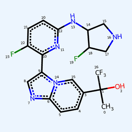 CC(O)(c1ccc2ncc(-c3nc(NC4CNCC4F)ccc3F)n2c1)C(F)(F)F